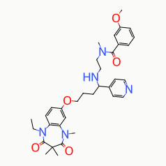 CCN1C(=O)C(C)(C)C(=O)N(C)c2cc(OCCCC(NCCN(C)C(=O)c3cccc(OC)c3)c3ccncc3)ccc21